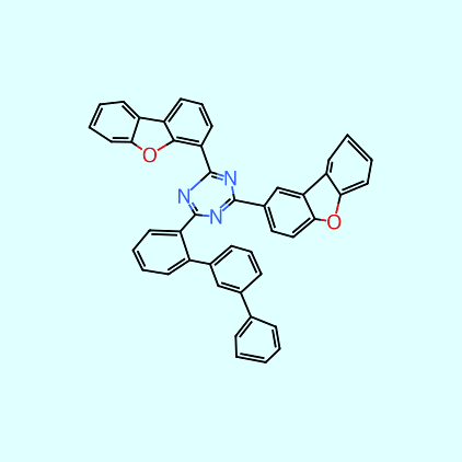 c1ccc(-c2cccc(-c3ccccc3-c3nc(-c4ccc5oc6ccccc6c5c4)nc(-c4cccc5c4oc4ccccc45)n3)c2)cc1